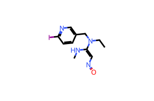 CCN(Cc1ccc(I)nc1)/C(=C/N=O)NC